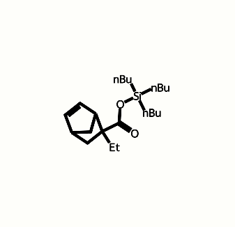 CCCC[Si](CCCC)(CCCC)OC(=O)C1(CC)CC2C=CC1C2